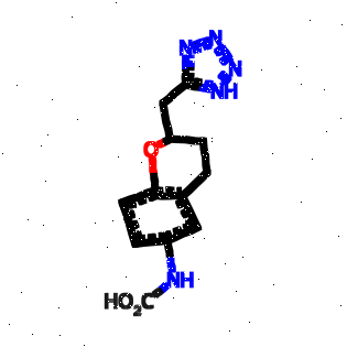 O=C(O)Nc1ccc2c(c1)CCC(Cc1nnn[nH]1)O2